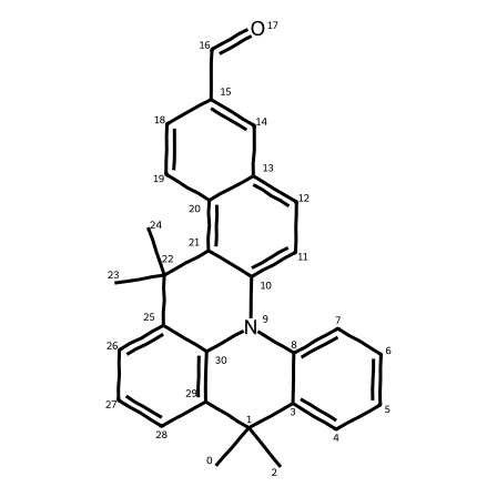 CC1(C)c2ccccc2N2c3ccc4cc(C=O)ccc4c3C(C)(C)c3cccc1c32